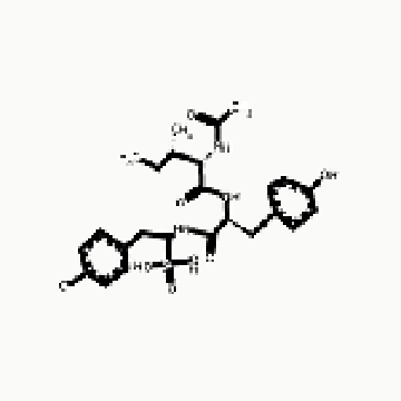 CC[C@H](C)[C@H](NC(C)=O)C(=O)N[C@@H](Cc1ccc(O)cc1)C(=O)NC(Cc1ccc(Cl)cc1)P(=O)(O)O